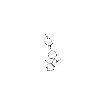 Cc1ccccc1C1(N(C)C)CCC(N2CCN(C)CC2)CC1